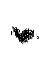 CC(C)CNC(=O)Nc1ccc(-c2ccc(O)c3c2C[C@H]2C[C@H]4[C@H](N(C)C)C(O)=C(C(N)=O)C(=O)[C@@]4(O)C(O)=C2C3=O)cc1